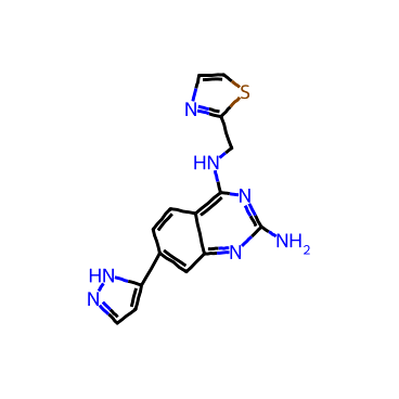 Nc1nc(NCc2nccs2)c2ccc(-c3ccn[nH]3)cc2n1